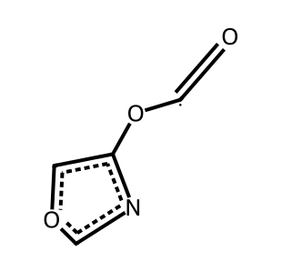 O=[C]Oc1cocn1